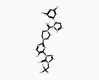 O=C(N1CCN(c2ncc(F)c(-n3ncn(CC(F)(F)F)c3=O)n2)CC1)N1N=CC[C@H]1c1cc(F)cc(F)c1